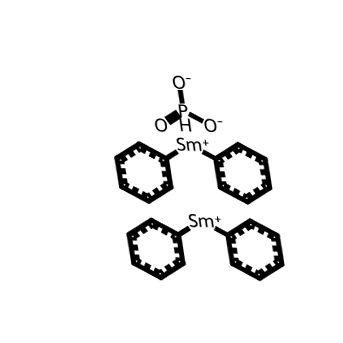 O=[PH]([O-])[O-].c1cc[c]([Sm+][c]2ccccc2)cc1.c1cc[c]([Sm+][c]2ccccc2)cc1